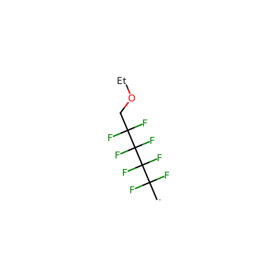 [CH2]C(F)(F)C(F)(F)C(F)(F)C(F)(F)COCC